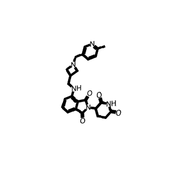 Cc1ccc(CN2CC(CNc3cccc4c3C(=O)N(C3CCC(=O)NC3=O)C4=O)C2)cn1